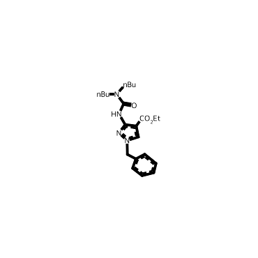 CCCCN(CCCC)C(=O)Nc1nn(Cc2ccccc2)cc1C(=O)OCC